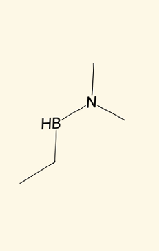 CCBN(C)C